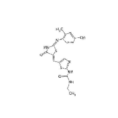 CCNC(=O)Nc1ncc(/C=C2\S/C(=N\c3ccc(O)cc3C)NC2=O)s1